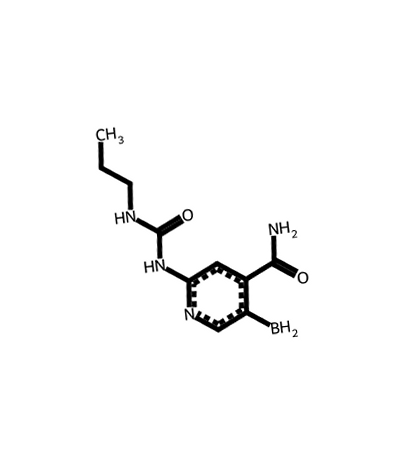 Bc1cnc(NC(=O)NCCC)cc1C(N)=O